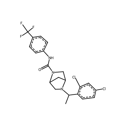 CC(c1ccc(Cl)cc1Cl)N1CC2CC1CN2C(=O)Nc1ccc(C(F)(F)F)cc1